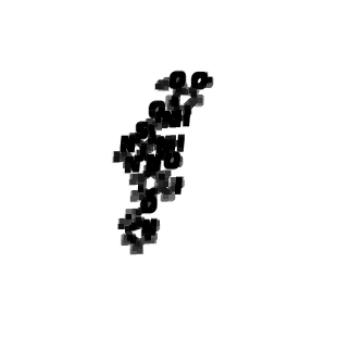 COc1ccc(NC(=O)c2sc3ncnc4c3c2NC(=O)N4c2ccc(OCc3ccccn3)c(CI)c2)cc1OC